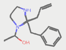 C=CCC1(Cc2ccccc2)NCCN1C(C)O